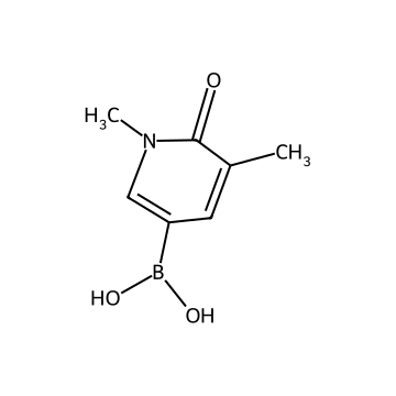 Cc1cc(B(O)O)cn(C)c1=O